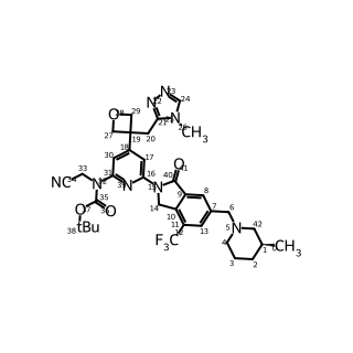 C[C@H]1CCCN(Cc2cc3c(c(C(F)(F)F)c2)CN(c2cc(C4(Cc5nncn5C)COC4)cc(N(CC#N)C(=O)OC(C)(C)C)n2)C3=O)C1